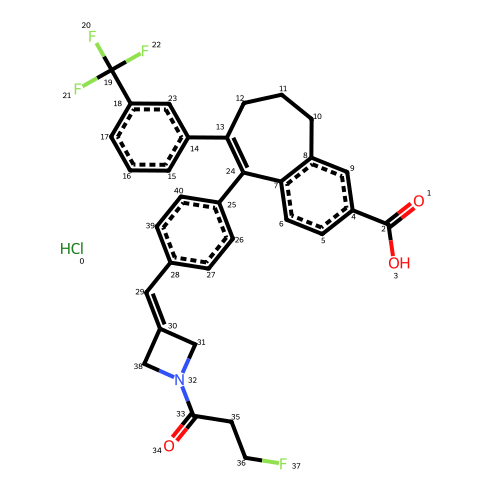 Cl.O=C(O)c1ccc2c(c1)CCCC(c1cccc(C(F)(F)F)c1)=C2c1ccc(C=C2CN(C(=O)CCF)C2)cc1